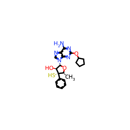 C[C@H]1O[C@@H](n2cnc3c(N)nc(OC4CCCC4)nc32)[C@H](O)[C@]1(S)c1ccccc1